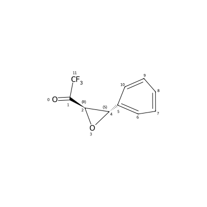 O=C([C@@H]1O[C@H]1c1ccccc1)C(F)(F)F